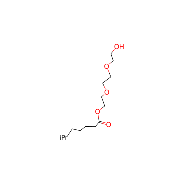 CC(C)CCCCC(=O)OCCOCCOCCO